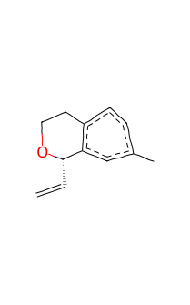 C=C[C@@H]1OCCc2ccc(C)cc21